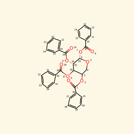 O=C(OC1CO[C@@H](OC(=O)c2ccccc2)[C@@H](OC(=O)c2ccccc2)C1OC(=O)c1ccccc1)c1ccccc1